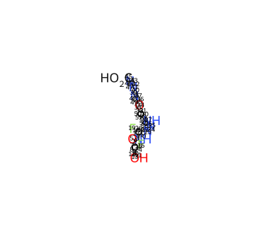 Cc1c(NC(=O)c2ccc(C(C)(C)O)cc2F)cc(F)cc1-c1ncnc2[nH]c(-c3ccc(COC4CCN(CCN5CCN(C(=O)O)CC5)CC4)cc3)cc12